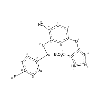 CCOC(=O)c1[nH]nnc1Oc1ccc(C#N)c(OCc2ccc(F)cc2)c1